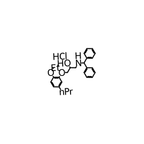 CCCc1ccc(OCC)c(OCC(O)CNC(c2ccccc2)c2ccccc2)c1.Cl